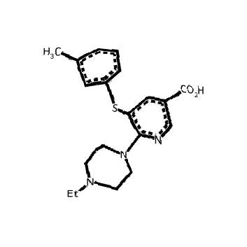 CCN1CCN(c2ncc(C(=O)O)cc2Sc2cccc(C)c2)CC1